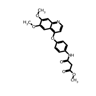 COC(=O)CC(=O)Nc1ccc(Oc2ccnc3cc(OC)c(OC)cc23)cc1